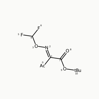 CC(=O)/C(=N\OC(F)F)C(=O)OC(C)(C)C